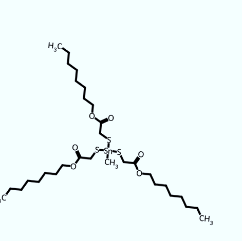 CCCCCCCCOC(=O)C[S][Sn]([CH3])([S]CC(=O)OCCCCCCCC)[S]CC(=O)OCCCCCCCC